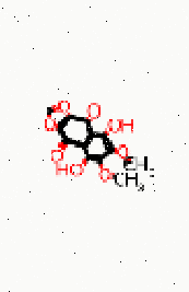 COc1c(O)c2c(c(O)c1OC)C(=O)C1=C(OCO1)C2=O